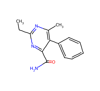 CCc1nc(C)c(-c2ccccc2)c(C(N)=O)n1